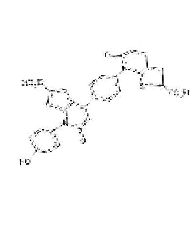 CCOC(=O)c1cc2ccc(=O)n(-c3ccc(-c4cc(=O)n(-c5ccc(O)cc5)c5sc(C(=O)OCC)cc45)cc3)c2s1